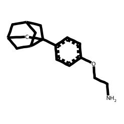 NCCOc1ccc(C23CC4CC(CC2C4)C3)cc1